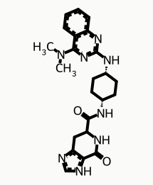 CN(C)c1nc(N[C@H]2CC[C@@H](NC(=O)C3Cc4nc[nH]c4C(=O)N3)CC2)nc2ccccc12